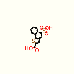 O=C(O)c1cc2cc(S(=O)(=O)O)c3ccccc3c2s1